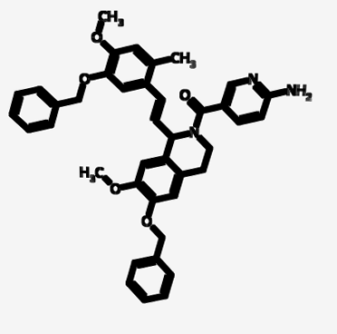 COc1cc(C)c(C=CC2c3cc(OC)c(OCc4ccccc4)cc3CCN2C(=O)c2ccc(N)nc2)cc1OCc1ccccc1